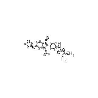 CC(C)OC(=O)Nc1ccc(-c2c(C#N)c3ccc(OC4CCOC4)cc3n2C2CC2)cc1